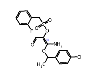 CC(O/C(N)=C(\C=O)OS(=O)(=O)Cc1ccccc1F)c1ccc(Cl)cc1